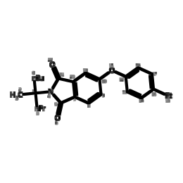 CCCCC(C)(CCC)N1C(=O)c2ccc(Oc3ccc(CC)cc3)cc2C1=O